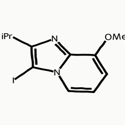 COc1cccn2c(I)c(C(C)C)nc12